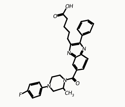 CC1CN(c2ccc(F)cc2)CCN1C(=O)c1ccc2nc(-c3ccccc3)c(CCCCC(=O)O)nc2c1